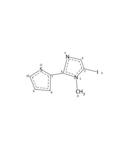 Cn1c(I)cnc1-c1cccs1